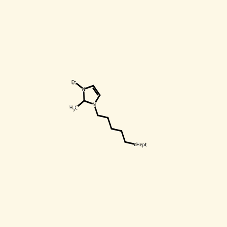 CCCCCCCCCCCCN1C=CN(CC)C1C